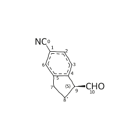 N#Cc1ccc2c(c1)C[CH][C@@H]2C=O